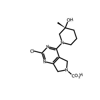 C[C@@]1(O)CCCN(c2nc(Cl)nc3c2CN(C(=O)O)C3)C1